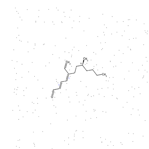 C=C/C(=C\C=C\C=O)CC[C@@H](C)CCCC